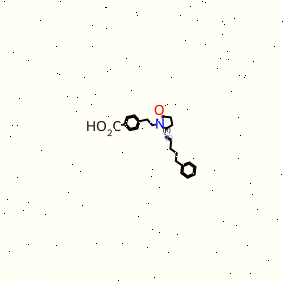 O=C(O)c1ccc(CCN2C(=O)CC[C@@H]2/C=C/CCCc2ccccc2)cc1